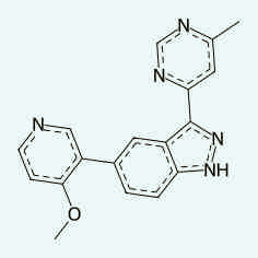 COc1ccncc1-c1ccc2[nH]nc(-c3cc(C)ncn3)c2c1